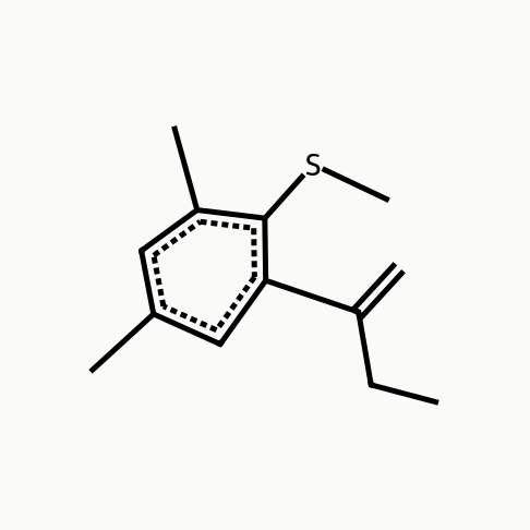 C=C(CC)c1cc(C)cc(C)c1SC